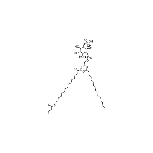 CCCCCCCCCCCCCCCC(=O)O[C@H](COC(=O)CCCCCCCCCCCCCCSC(=O)CCC)COP(=O)(O)OC1C(O)[C@@H](O)C(O)[C@@H](OP(=O)(O)O)[C@H]1O